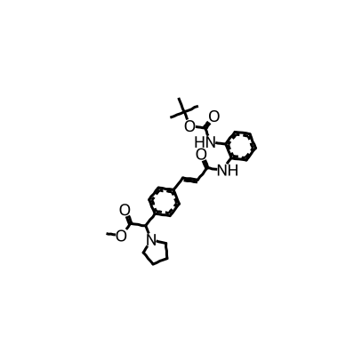 COC(=O)C(c1ccc(/C=C/C(=O)Nc2ccccc2NC(=O)OC(C)(C)C)cc1)N1CCCC1